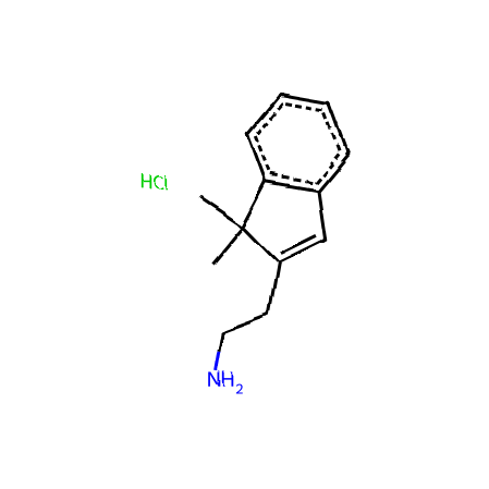 CC1(C)C(CCN)=Cc2ccccc21.Cl